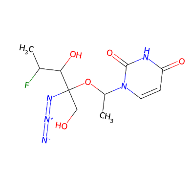 CC(F)C(O)C(CO)(N=[N+]=[N-])OC(C)n1ccc(=O)[nH]c1=O